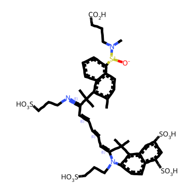 Cc1ccc2c([S+]([O-])N(C)CCCC(=O)O)cccc2c1C(C)(C)C(/C=C/C=C/C=C1/N(CCCS(=O)(=O)O)c2ccc3c(S(=O)(=O)O)cc(S(=O)(=O)O)cc3c2C1(C)C)=N/CCCS(=O)(=O)O